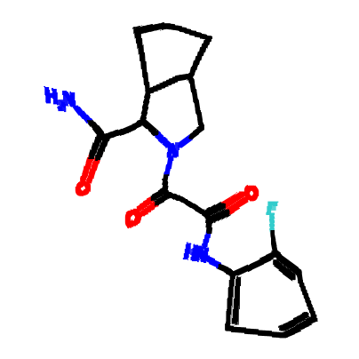 NC(=O)C1C2CCCC2CN1C(=O)C(=O)Nc1ccccc1F